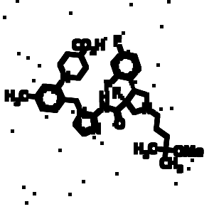 COC(C)(C)CCCN1C[C@@H](c2ccc(F)cc2F)[C@](F)(C(=O)Nc2nccn2Cc2ccc(C)cc2N2CCC(C(=O)O)CC2)C1